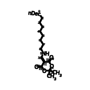 CCCCCCCCCCCCCCCCCCNC=C1C(=O)OC(C)(C)OC1=O